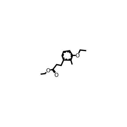 CCOC(=O)CCc1cccc(OCC)c1C